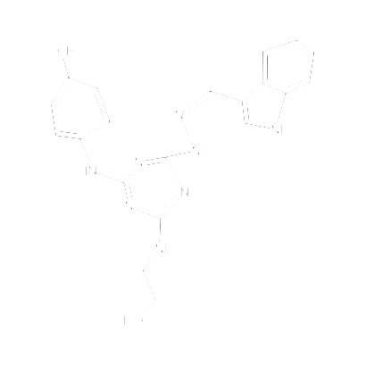 Cc1ccc(Nc2nc(NCCO)nc(N/N=C\c3c[nH]c4ccccc34)n2)cc1